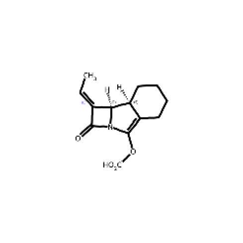 C/C=C1/C(=O)N2C(OC(=O)O)=C3CCCC[C@@H]3[C@H]12